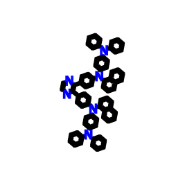 c1ccc(N(c2ccccc2)c2ccc(N(c3ccc(-c4nccnc4-c4ccc(N(c5ccc(N(c6ccccc6)c6ccccc6)cc5)c5cccc6ccccc56)cc4)cc3)c3cccc4ccccc34)cc2)cc1